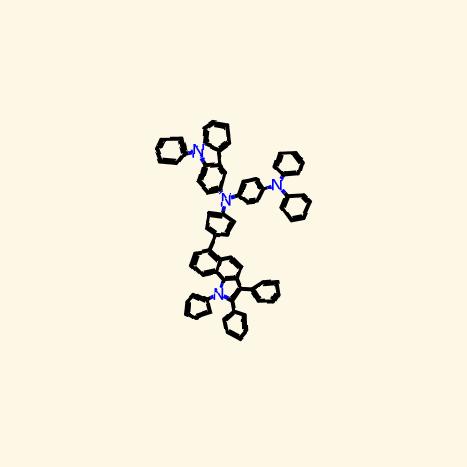 c1ccc(-c2c(-c3ccccc3)n(-c3ccccc3)c3c2ccc2c(-c4ccc(N(c5ccc(N(c6ccccc6)c6ccccc6)cc5)c5ccc6c(c5)c5ccccc5n6-c5ccccc5)cc4)cccc23)cc1